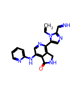 C=Cn1c(-c2ncc(Nc3ccccn3)c3c2CNC3=O)cnc1C=N